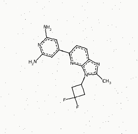 Cc1nc2ccc(-c3cc(N)nc(N)c3)nc2n1C1CC(F)(F)C1